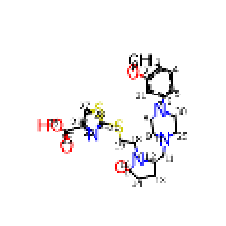 COc1cccc(N2CCN(C[C@H]3CCC(=O)N3CCSc3nc(C(=O)O)cs3)CC2)c1